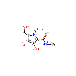 CCCCCCN1[C@H](CO)[C@@H](O)[C@@H](O)[C@H]1C(=O)NCCC